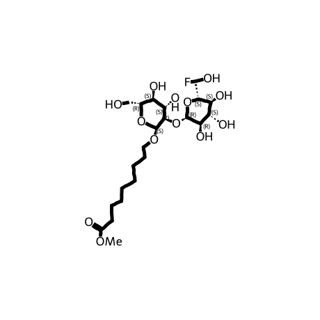 COC(=O)CCCCCCCCO[C@H]1O[C@H](CO)[C@@H](O)[C@H](O)[C@H]1O[C@@H]1O[C@H](C(O)F)[C@@H](O)[C@H](O)[C@H]1O